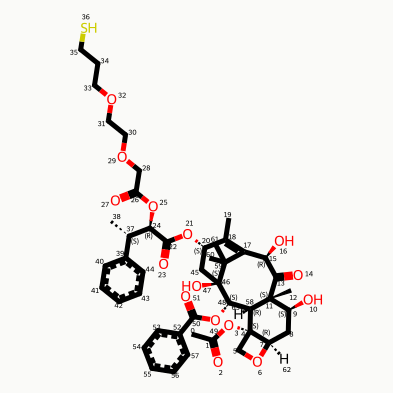 CC(=O)O[C@@]12CO[C@@H]1C[C@H](O)[C@@]1(C)C(=O)[C@H](O)C3=C(C)[C@@H](OC(=O)[C@H](OC(=O)COCCOCCCS)[C@@H](C)c4ccccc4)C[C@@](O)([C@@H](OC(=O)c4ccccc4)[C@H]21)C3(C)C